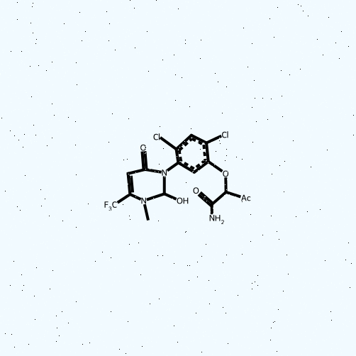 CC(=O)C(Oc1cc(N2C(=O)C=C(C(F)(F)F)N(C)C2O)c(Cl)cc1Cl)C(N)=O